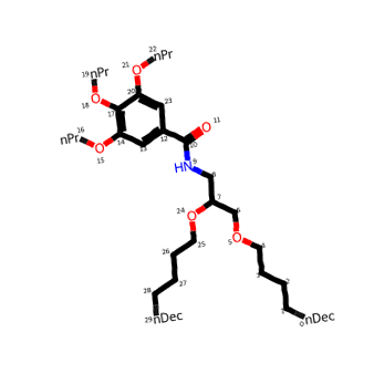 CCCCCCCCCCCCCCOCC(CNC(=O)c1cc(OCCC)c(OCCC)c(OCCC)c1)OCCCCCCCCCCCCCC